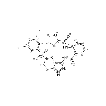 O=C(Nc1n[nH]c2c1CN(S(=O)(=O)c1cc(F)cc(F)c1)CC2)c1cccnc1NC(=O)C1CCCO1